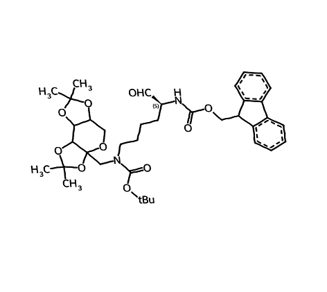 CC(C)(C)OC(=O)N(CCCC[C@@H](C=O)NC(=O)OCC1c2ccccc2-c2ccccc21)CC12OCC3OC(C)(C)OC3C1OC(C)(C)O2